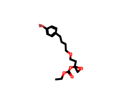 CCOC(=O)OC1(CCOCCCCc2ccc(Br)cc2)CO1